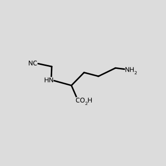 N#CCNC(CCCN)C(=O)O